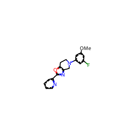 COc1cc(F)cc(N2CCc3oc(-c4ccccn4)nc3C2)c1